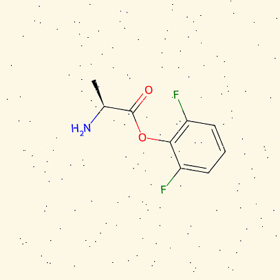 C[C@H](N)C(=O)Oc1c(F)cccc1F